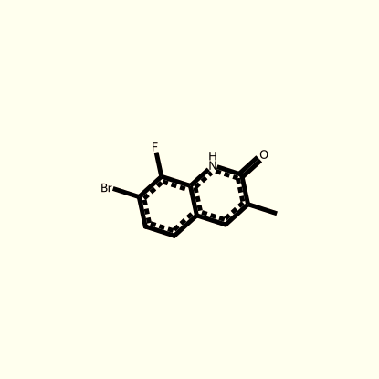 Cc1cc2ccc(Br)c(F)c2[nH]c1=O